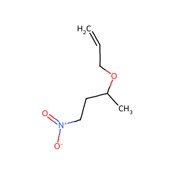 C=CCOC(C)CC[N+](=O)[O-]